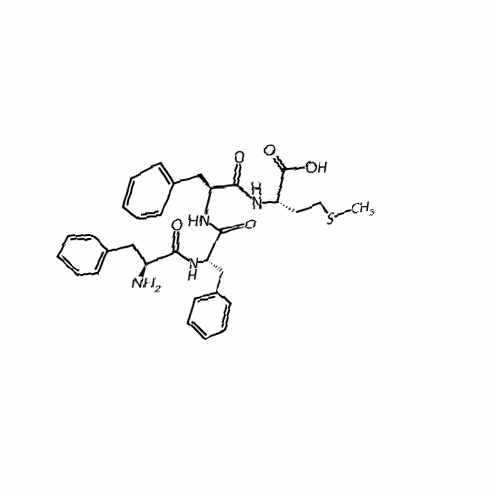 CSCC[C@H](NC(=O)[C@H](Cc1ccccc1)NC(=O)[C@H](Cc1ccccc1)NC(=O)[C@@H](N)Cc1ccccc1)C(=O)O